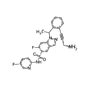 CC(c1ccccc1C#CCN)n1ncc2cc(S(=O)(=O)Nc3ccc(F)cn3)c(F)cc21